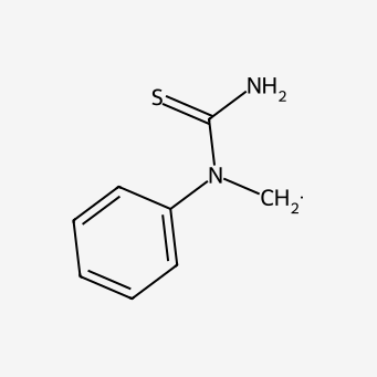 [CH2]N(C(N)=S)c1ccccc1